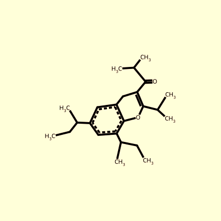 CCC(C)c1cc2c(c(C(C)CC)c1)OC(C(C)C)=C(C(=O)C(C)C)C2